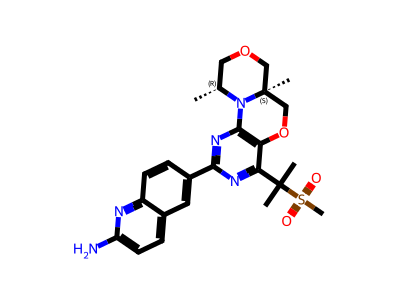 C[C@@H]1COC[C@@]2(C)COc3c(nc(-c4ccc5nc(N)ccc5c4)nc3C(C)(C)S(C)(=O)=O)N12